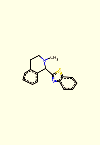 CN1CCc2ccccc2C1c1nc2ccccc2s1